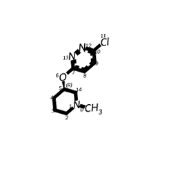 CN1CCC[C@@H](Oc2ccc(Cl)nn2)C1